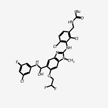 Cn1c(Nc2c(Cl)ccc(CNC(=O)C(C)(C)C)c2Cl)nc2cc(C(O)Nc3cc(F)cc(Cl)c3)c(OCC(F)F)cc21